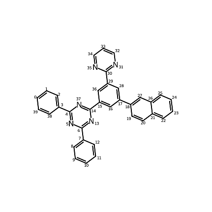 c1ccc(-c2nc(-c3ccccc3)nc(-c3cc(-c4ccc5ccccc5c4)cc(-c4ncccn4)c3)n2)cc1